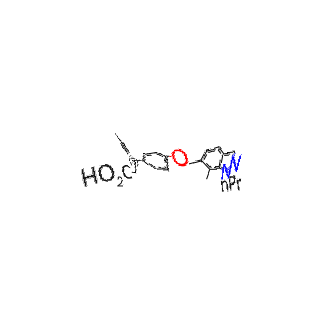 CC#C[C@@H](CC(=O)O)c1ccc(OCc2ccc3cnn(CCC)c3c2C)cc1